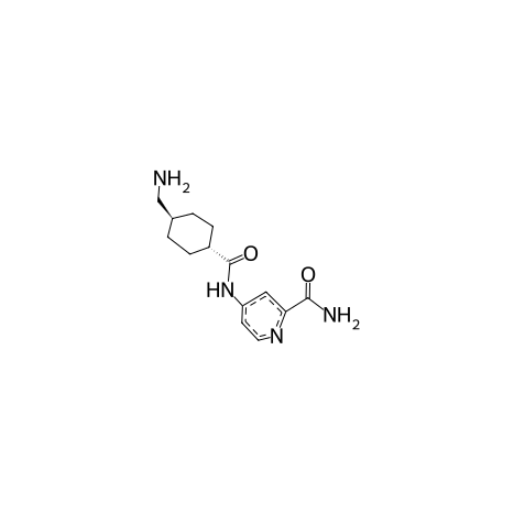 NC[C@H]1CC[C@H](C(=O)Nc2ccnc(C(N)=O)c2)CC1